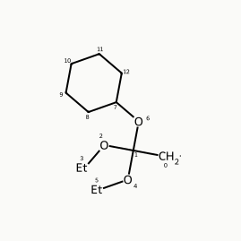 [CH2]C(OCC)(OCC)OC1CCCCC1